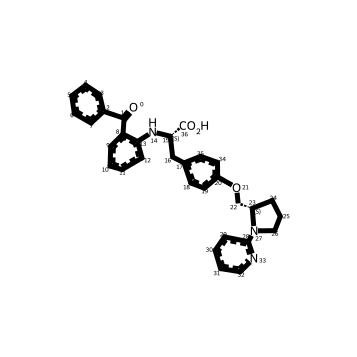 O=C(c1ccccc1)c1ccccc1N[C@@H](Cc1ccc(OC[C@@H]2CCCN2c2ccccn2)cc1)C(=O)O